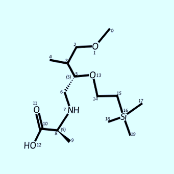 COCC(C)[C@@H](CN[C@@H](C)C(=O)O)OCC[Si](C)(C)C